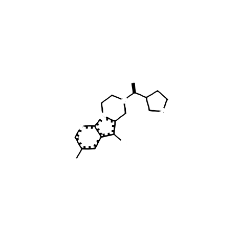 Cc1c2n(c3ncc(Cl)cc13)CCN(C(=O)C1CCNC1)C2